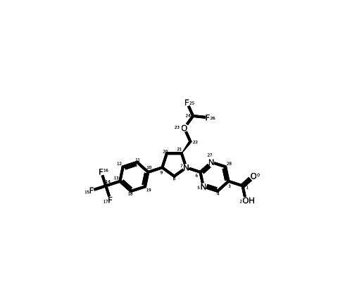 O=C(O)c1cnc(N2CC(c3ccc(C(F)(F)F)cc3)C[C@H]2COC(F)F)nc1